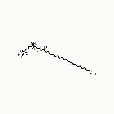 CCCCCCCC/C=C/CCCCCCCCCCCC(=O)NCCC[N+](C)(C)CCCS(C)(=O)=O